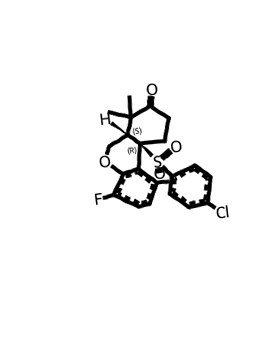 CC1(C)C(=O)CC[C@]2(S(=O)(=O)c3ccc(Cl)cc3)c3c(F)ccc(F)c3OC[C@H]12